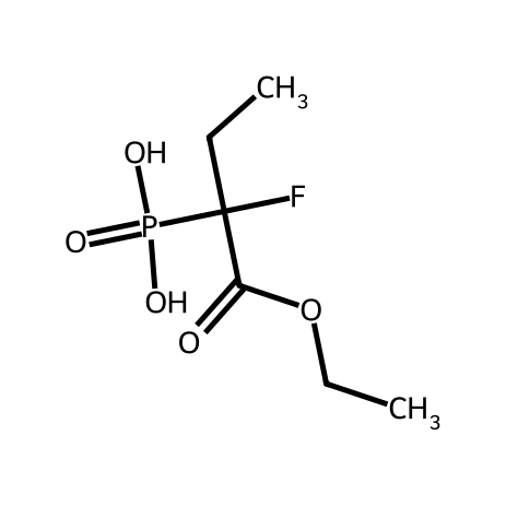 CCOC(=O)C(F)(CC)P(=O)(O)O